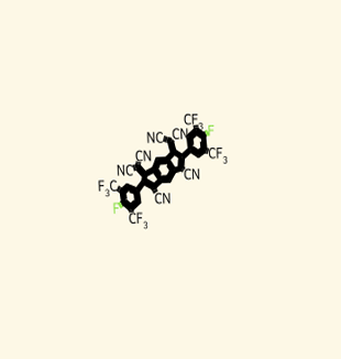 N#CC(C#N)=C1C(c2cc(C(F)(F)F)c(F)c(C(F)(F)F)c2)=C(C#N)c2cc3c(cc21)C(=C(C#N)C#N)C(c1cc(C(F)(F)F)c(F)c(C(F)(F)F)c1)=C3C#N